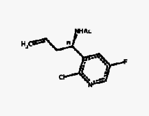 C=CC[C@@H](NC(C)=O)c1cc(F)cnc1Cl